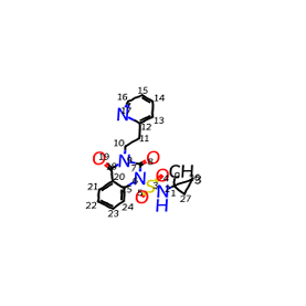 CC1(NS(=O)(=O)n2c(=O)n(CCc3ccccn3)c(=O)c3ccccc32)CC1